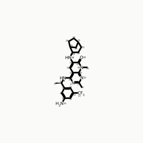 Cc1nc(N[C@H](C)c2cc(N)cc(C(F)(F)F)c2)c2cc(NC3CCC4CCC3C4)c(=O)n(C)c2n1